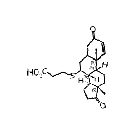 C[C@]12C=CC(=O)CC1CC(SCCC(=O)O)[C@@H]1[C@H]2CC[C@]2(C)C(=O)CC[C@@H]12